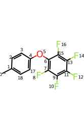 [CH2]c1ccc(Oc2c(F)c(F)c(F)c(F)c2F)cc1